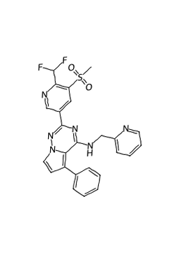 CS(=O)(=O)c1cc(-c2nc(NCc3ccccn3)c3c(-c4ccccc4)ccn3n2)cnc1C(F)F